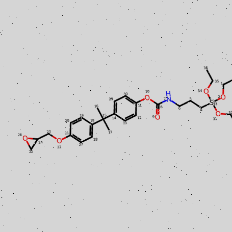 CCO[Si](CCCNC(=O)Oc1ccc(C(C)(C)c2ccc(OCC3CO3)cc2)cc1)(OCC)OCC